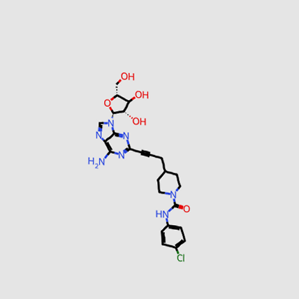 Nc1nc(C#CCC2CCN(C(=O)Nc3ccc(Cl)cc3)CC2)nc2c1ncn2[C@@H]1O[C@H](CO)C(O)[C@@H]1O